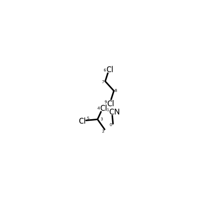 CC#N.CC(Cl)Cl.ClCCCl